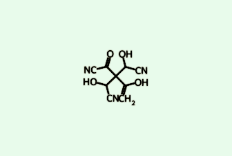 C=C(O)C(C(=O)C#N)(C(O)C#N)C(O)C#N